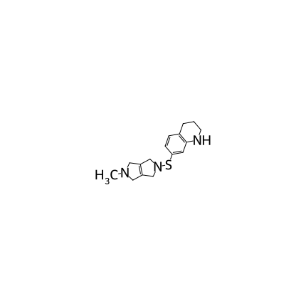 CN1CC2=C(C1)CN(Sc1ccc3c(c1)NCCC3)C2